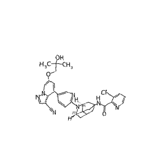 CC(C)(O)COc1cc(-c2ccc(N3[C@@H]4CC5C[C@H]3CC(NC(=O)c3ncccc3Cl)(C5)C4)nc2)c2c(C#N)cnn2c1